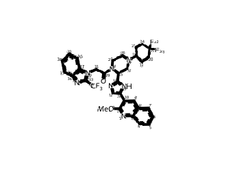 COc1nc2ccccc2cc1-c1cnc(C2CN(C3CCC(F)(F)CC3)CCN2C(=O)Cn2c(C(F)(F)F)nc3ccccc32)[nH]1